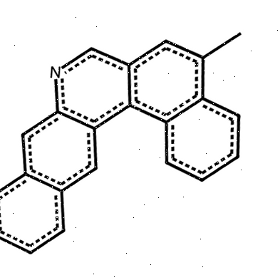 Cc1cc2cnc3cc4ccccc4cc3c2c2ccccc12